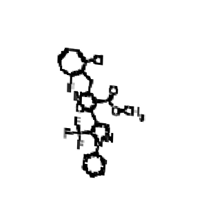 COC(=O)c1c(CC2=C(F)CC=CC=C2Cl)noc1-c1cnn(-c2ccccc2)c1C(F)(F)F